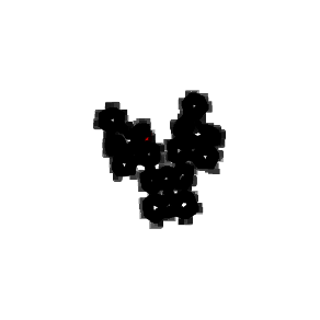 c1ccc2c(c1)-c1c(-c3cccc4c(-c5c6ccccc6cc6ccccc56)c5cccc(-c6cccc7c6-c6ccccc6C76c7ccccc7-n7c8ccccc8c8cccc6c87)c5cc34)cccc1C21c2ccccc2-n2c3ccccc3c3cccc1c32